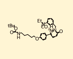 CCN(C(=O)O)c1cccc(Cn2nc(-c3ccc(OCCCCCNC(=O)OC(C)(C)C)cc3)ccc2=O)c1